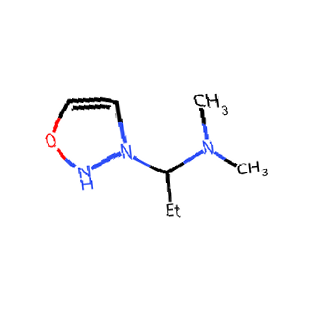 CCC(N(C)C)N1C=CON1